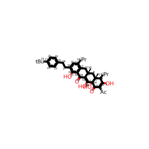 CC(=O)C1=C(O)C(C(C)C)[C@@]2(C)C[C@@]3(C)Cc4c(C(C)C)cc(CCc5ccc(C(C)(C)C)cc5)c(O)c4C(=O)C3=C(O)[C@@]2(O)C1=O